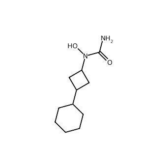 NC(=O)N(O)C1CC(C2CCCCC2)C1